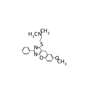 COc1ccc2c(c1)Cc1c(nc(-c3ccccc3)nc1SCCN(C)C)O2